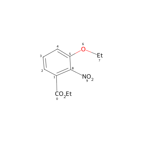 CCOC(=O)c1cccc(OCC)c1[N+](=O)[O-]